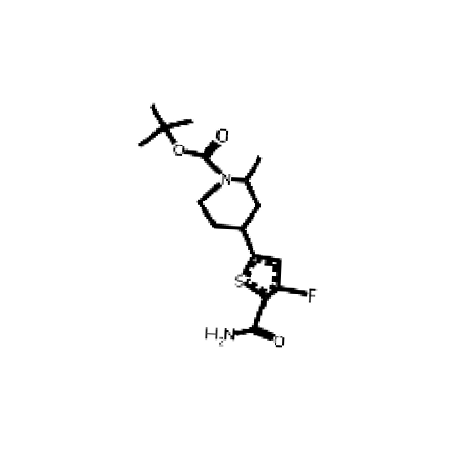 CC1CC(c2cc(F)c(C(N)=O)s2)CCN1C(=O)OC(C)(C)C